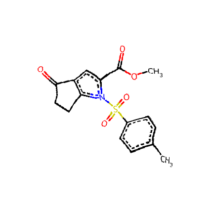 COC(=O)c1cc2c(n1S(=O)(=O)c1ccc(C)cc1)CCC2=O